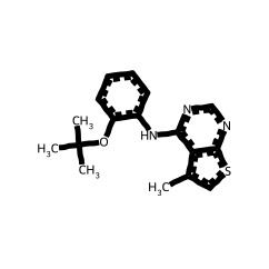 Cc1csc2ncnc(Nc3ccccc3OC(C)(C)C)c12